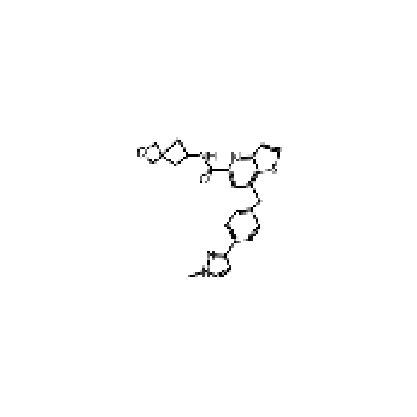 Cn1ccc(-c2ccc(Cc3cc(C(=O)NC4CC5(COC5)C4)nc4ccsc34)cc2)n1